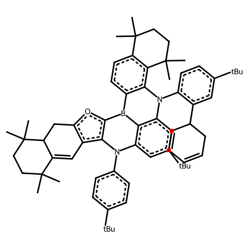 CC1(C)CCC(C)(C)C2Cc3oc4c(c3C=C21)N(c1ccc(C(C)(C)C)cc1)c1cc(C(C)(C)C)cc2c1B4c1ccc3c(c1N2c1ccc(C(C)(C)C)cc1C1C=CC=CC1)C(C)(C)CCC3(C)C